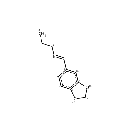 CCC/N=C/c1ccc2c(c1)OCO2